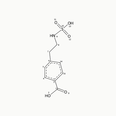 O=C(O)c1ccc(CCNS(=O)(=O)O)cc1